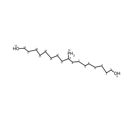 OCCCCCCCC[C](P)CCCCCCCCO